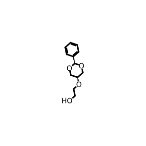 OCCO[C@H]1CO[C@@H](c2ccccc2)OC1